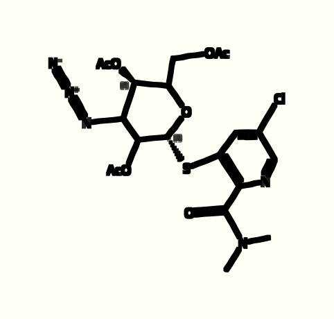 CC(=O)OCC1O[C@H](Sc2cc(Cl)cnc2C(=O)N(C)C)C(OC(C)=O)C(N=[N+]=[N-])[C@H]1OC(C)=O